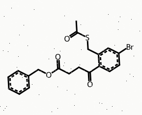 CC(=O)SCc1cc(Br)ccc1C(=O)CCC(=O)OCc1ccccc1